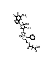 CC(C)(C(=O)O)C(=O)SCCOP(=O)(NCc1ccccc1)OC[C@H]1O[C@@H](n2cnc3c(=O)[nH]c(N)nc32)C(C)(O)[C@H]1O